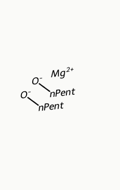 CCCCC[O-].CCCCC[O-].[Mg+2]